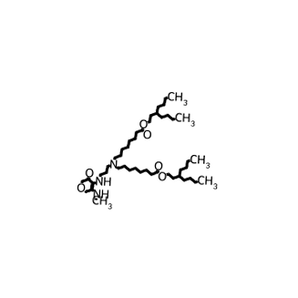 CCCCC(CCCC)CCOC(=O)CCCCCCCN(CCCCCCCC(=O)OCCC(CCCC)CCCC)CCCNC1=C(NC)COCC1=O